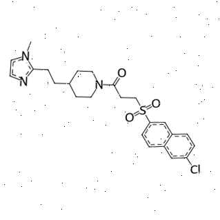 Cn1ccnc1CCC1CCN(C(=O)CCS(=O)(=O)c2ccc3cc(Cl)ccc3c2)CC1